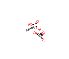 [BaH2].[O]=[Ti]([OH])[OH].[O]=[Zr]([O-])[O-].[Pb+2]